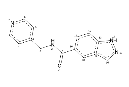 O=C(NCc1ccncc1)c1ccc2[nH]ncc2c1